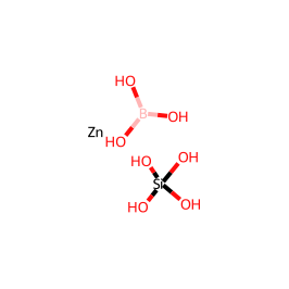 OB(O)O.O[Si](O)(O)O.[Zn]